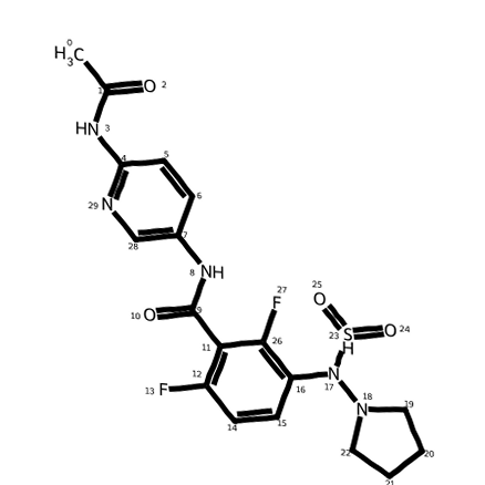 CC(=O)Nc1ccc(NC(=O)c2c(F)ccc(N(N3CCCC3)[SH](=O)=O)c2F)cn1